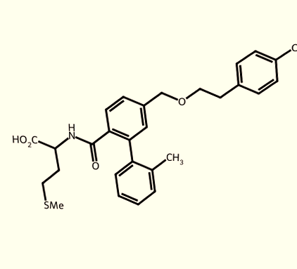 CSCCC(NC(=O)c1ccc(COCCc2ccc(Cl)cc2)cc1-c1ccccc1C)C(=O)O